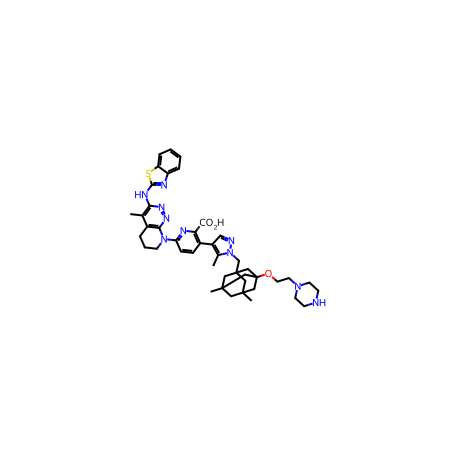 Cc1c(Nc2nc3ccccc3s2)nnc2c1CCCN2c1ccc(-c2cnn(CC34CC5(C)CC(C)(C3)CC(OCCN3CCNCC3)(C5)C4)c2C)c(C(=O)O)n1